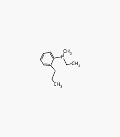 CCCc1ccccc1P(C)CC